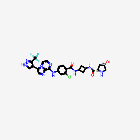 O=C(NC1CC(NC(=O)[C@@H]2C[C@@H](O)CN2)C1)c1ccc(Nc2nccn3c(-c4c[nH]nc4C(F)(F)F)cnc23)cc1Cl